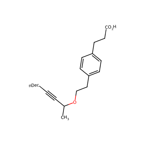 CCCCCCCCCCC#CC(C)OCCc1ccc(CCC(=O)O)cc1